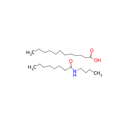 CCCCCCCC(=O)NCCCC.CCCCCCCCCCCC(=O)O